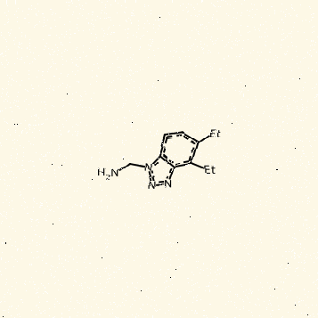 CCc1ccc2c(nnn2CN)c1CC